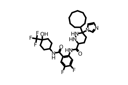 O=C(NC1CCC(O)(C(F)(F)F)CC1)c1cc(F)c(F)cc1NC(=O)C1CCC(C2CCCCCCCC2)(n2ccnc2)NN1